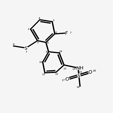 CSc1cccc(F)c1-c1cccc(NS(C)(=O)=O)c1